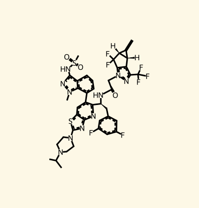 C=C1[C@@H]2c3c(C(F)(F)F)nn(CC(=O)N[C@@H](Cc4cc(F)cc(F)c4)c4nc5nc(N6CCN(C(C)C)CC6)sc5cc4-c4cccc5c(NS(C)(=O)=O)nn(C)c45)c3C(F)(F)[C@H]12